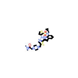 CN(C)C(=O)CN1CCN(Cc2cnc(-c3cc4cccc(N(CC5CC5)S(=O)(=O)c5cccs5)c4[nH]3)s2)CC1